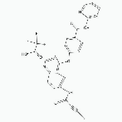 CC#CC(=O)Nc1ccc2ncnc(Oc3ccc(C(=O)Nc4ccccn4)cc3)c2c1.O=C(O)C(F)(F)F